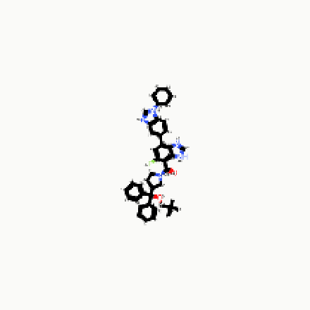 CC(C)(C)[SiH2]OC(c1ccccc1)(c1ccccc1)C1CCN(C(=O)c2c(F)cc(-c3ccc4c(c3)ncn4C3CCCCC3)c3nc[nH]c23)C1